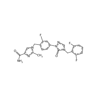 Cc1nc(C(N)=O)cn1Cc1ccc(-n2ncn(Cc3c(F)cccc3F)c2=O)cc1F